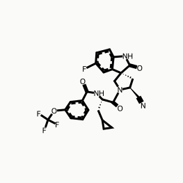 N#C[C@@H]1C[C@@]2(CN1C(=O)[C@H](CC1CC1)NC(=O)c1cccc(OC(F)(F)F)c1)C(=O)Nc1ccc(F)cc12